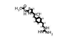 CC(=O)Nc1nc(CCc2ccc(CCNC(=N)N)cc2)cs1.Cl